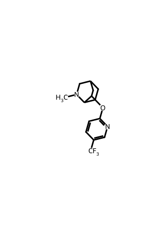 CN1CC2CCC1C(Oc1ccc(C(F)(F)F)cn1)C2